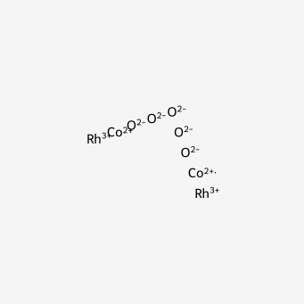 [Co+2].[Co+2].[O-2].[O-2].[O-2].[O-2].[O-2].[Rh+3].[Rh+3]